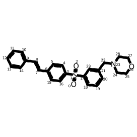 O=S(=O)(c1ccc(C=Cc2ccccc2)cc1)c1cccc(CN2CCOCC2)c1